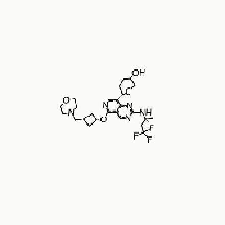 C[C@@H](CC(F)(F)F)Nc1ncc2c(O[C@H]3C[C@H](CN4CCOCC4)C3)ncc([C@H]3CC[C@H](O)CC3)c2n1